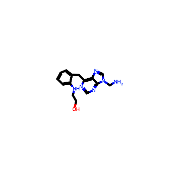 NCn1cnc2c(Cc3ccccc3NCCO)ncnc21